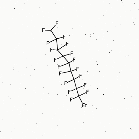 CCC(F)(F)C(F)(F)C(F)(F)C(F)(F)C(F)(F)C(F)(F)C(F)(F)C(F)(F)[C](F)F